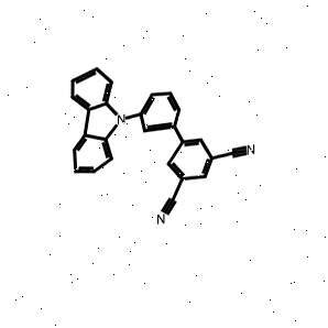 N#Cc1cc(C#N)cc(-c2cccc(-n3c4ccccc4c4ccccc43)c2)c1